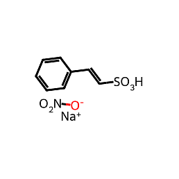 O=S(=O)(O)C=Cc1ccccc1.O=[N+]([O-])[O-].[Na+]